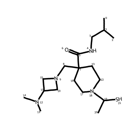 CC(C)CNC(=O)C1(CN2CC(N(C)C)C2)CCN(C(C)S)CC1